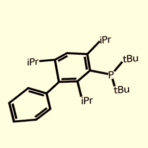 CC(C)c1cc(C(C)C)c(P(C(C)(C)C)C(C)(C)C)c(C(C)C)c1-c1ccccc1